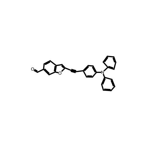 O=Cc1ccc2cc(C#Cc3ccc(N(c4ccccc4)c4ccccc4)cc3)oc2c1